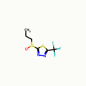 CCC[S+]([O-])c1nnc(C(F)(F)F)s1